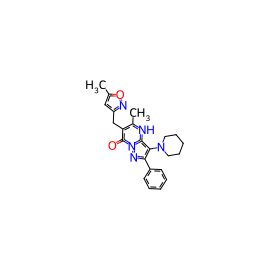 Cc1cc(Cc2c(C)[nH]c3c(N4CCCCC4)c(-c4ccccc4)nn3c2=O)no1